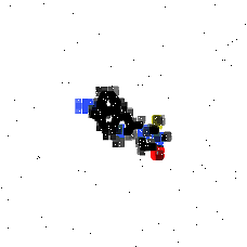 CN1C(=O)CCN(CC2C[C@@H]3c4cccc5[nH]cc(c45)C[C@H]3N(C)C2)C1=S